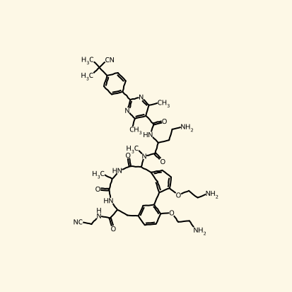 Cc1nc(-c2ccc(C(C)(C)C#N)cc2)nc(C)c1C(=O)NC(CCN)C(=O)N(C)C1C(=O)NC(C)C(=O)NC(C(=O)NCC#N)Cc2ccc(OCCN)c(c2)-c2cc1ccc2OCCN